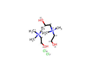 C[N+](C)(C)CCO.C[N+](C)(CCO)CCO.[Cl-].[Cl-]